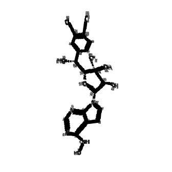 ONc1ncnc2c1ccn2[C@@H]1O[C@H]([C@H](O)c2ccc(Cl)c(Cl)c2)[C@](O)(C(F)(F)F)[C@H]1O